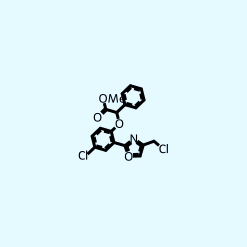 COC(=O)C(Oc1ccc(Cl)cc1-c1nc(CCl)co1)c1ccccc1